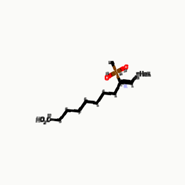 CCCCCC/C=C(/CCCCCCCC(=O)O)S(C)(=O)=O